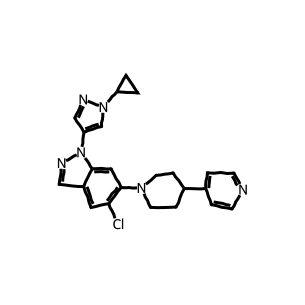 Clc1cc2cnn(-c3cnn(C4CC4)c3)c2cc1N1CCC(c2ccncc2)CC1